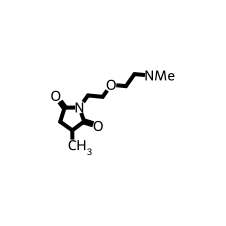 CNCCOCCN1C(=O)CC(C)C1=O